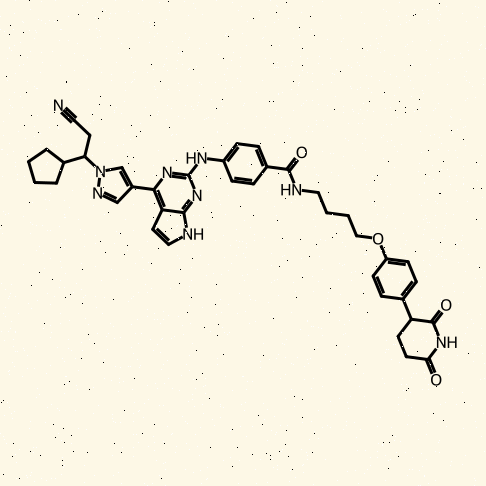 N#CCC(C1CCCC1)n1cc(-c2nc(Nc3ccc(C(=O)NCCCCOc4ccc(C5CCC(=O)NC5=O)cc4)cc3)nc3[nH]ccc23)cn1